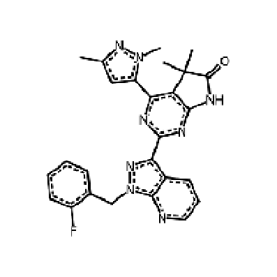 Cc1cc(-c2nc(-c3nn(Cc4ccccc4F)c4ncccc34)nc3c2C(C)(C)C(=O)N3)n(C)n1